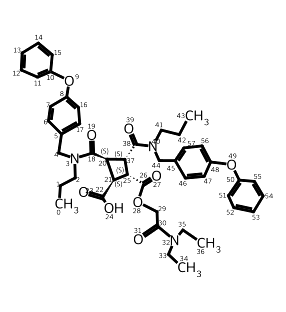 CCCN(Cc1ccc(Oc2ccccc2)cc1)C(=O)[C@@H]1[C@H](C(=O)O)[C@@H](C(=O)OCC(=O)N(CC)CC)[C@H]1C(=O)N(CCC)Cc1ccc(Oc2ccccc2)cc1